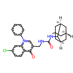 CC12C[C@@H]3C[C@H](C1)C(NC(=O)NCc1cn(-c4ccccc4)c4cc(Cl)ccc4c1=O)[C@@H](C3)C2